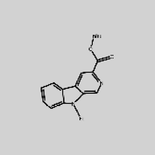 CCCCOC(=O)c1cc2c3ccccc3n(CC)c2cn1